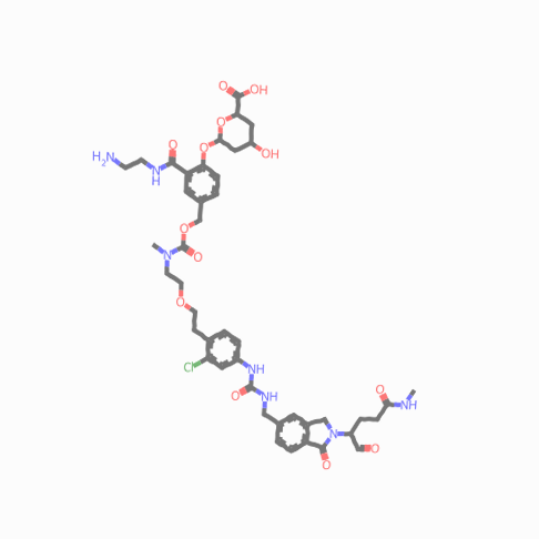 CNC(=O)CCC(C=O)N1Cc2cc(CNC(=O)Nc3ccc(CCOCCN(C)C(=O)OCc4ccc(OC5CC(O)CC(C(=O)O)O5)c(C(=O)NCCN)c4)c(Cl)c3)ccc2C1=O